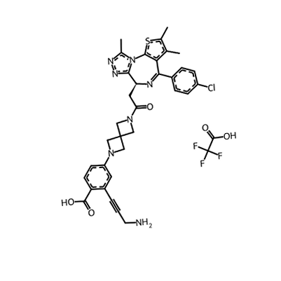 Cc1sc2c(c1C)C(c1ccc(Cl)cc1)=N[C@@H](CC(=O)N1CC3(C1)CN(c1ccc(C(=O)O)c(C#CCN)c1)C3)c1nnc(C)n1-2.O=C(O)C(F)(F)F